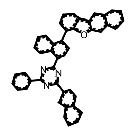 c1ccc(-c2nc(-c3ccc4ccccc4c3)nc(-c3ccc(-c4cccc5c4oc4cc6ccccc6cc45)c4ccccc34)n2)cc1